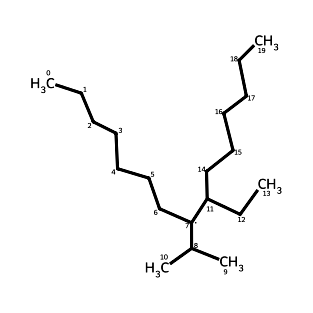 CCCCCCC[C](C(C)C)C(CC)CCCCCC